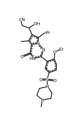 CCCc1c(C(O)CC#N)c(C)c2c(=O)[nH]c(-c3cc(S(=O)(=O)N4CCN(C)CC4)ccc3OCC)nn12